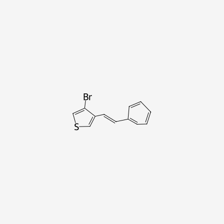 Brc1cscc1C=Cc1ccccc1